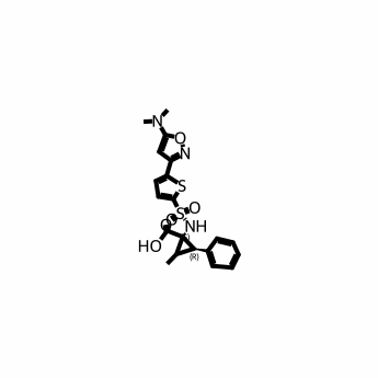 CC1[C@H](c2ccccc2)[C@]1(NS(=O)(=O)c1ccc(-c2cc(N(C)C)on2)s1)C(=O)O